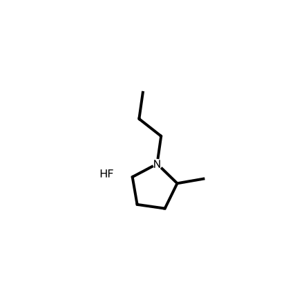 CCCN1CCCC1C.F